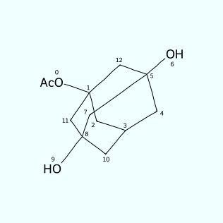 [CH2]C(=O)OC12CC3CC(O)(CC(O)(C3)C1)C2